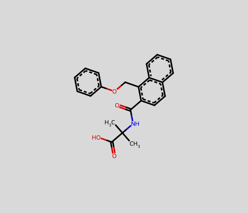 CC(C)(NC(=O)c1ccc2ccccc2c1COc1ccccc1)C(=O)O